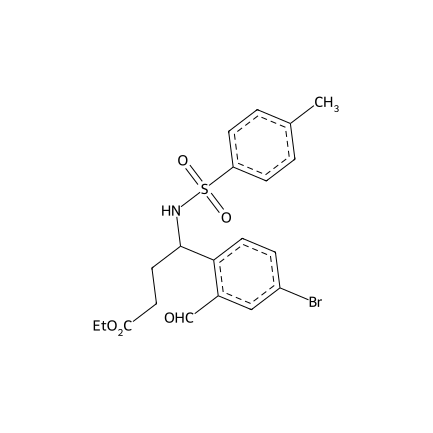 CCOC(=O)CCC(NS(=O)(=O)c1ccc(C)cc1)c1ccc(Br)cc1C=O